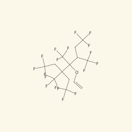 C=COC(C(CC(F)(F)F)C(F)(F)F)(C(F)(F)F)C(CC(F)(F)F)(CC(F)(F)F)C(F)(F)F